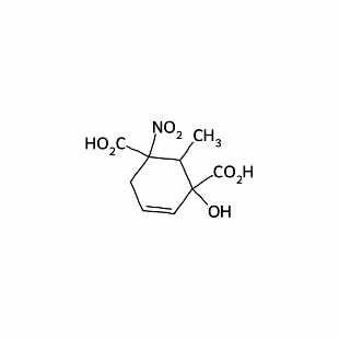 CC1C(O)(C(=O)O)C=CCC1(C(=O)O)[N+](=O)[O-]